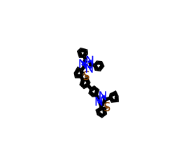 c1ccc(-c2nc(-c3ccccc3)nc(-c3cccc4c3sc3cc(-c5ccc(-c6nc(-c7ccccc7)c7sc8ccccc8c7n6)cc5)ccc34)n2)cc1